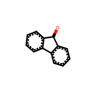 O=C1c2[c]cccc2-c2ccccc21